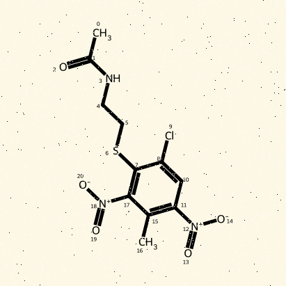 CC(=O)NCCSc1c(Cl)cc([N+](=O)[O-])c(C)c1[N+](=O)[O-]